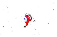 CC[C@@H](c1ccccc1)N1Cc2cc3c(cc2C[C@H]1C(=O)N[C@@H](Cc1ccc(Oc2ccnc(C)c2C)cc1)C(=O)O)OC[C@H](c1ccc(OCCC2CCCC2)cc1)O3